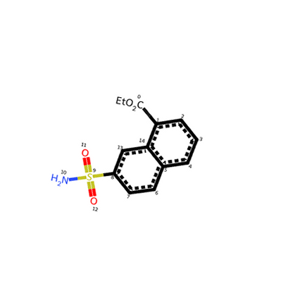 CCOC(=O)c1cccc2ccc(S(N)(=O)=O)cc12